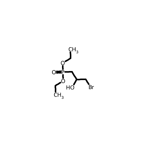 CCOP(=O)(CC(O)CBr)OCC